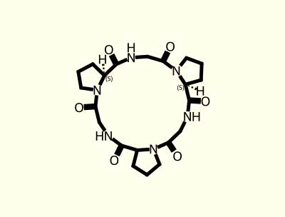 O=C1NCC(=O)N2CCC[C@H]2C(=O)NCC(=O)N2CCC[C@H]2C(=O)NCC(=O)N2CCCC12